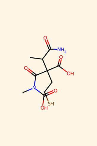 CC(C(N)=O)C(CCS)(C(=O)O)C(=O)N(C)C(=O)O